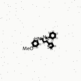 COc1ccc(NC2=NN(c3ccccc3)C(c3cccs3)C2)cc1